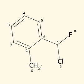 [CH2]c1ccccc1C(F)Cl